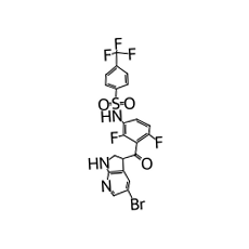 O=C(c1c(F)ccc(NS(=O)(=O)c2ccc(C(F)(F)F)cc2)c1F)C1CNc2ncc(Br)cc21